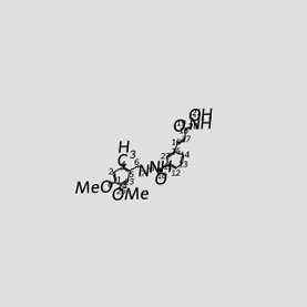 COc1cc(C)c(/C=N/NC(=O)c2cccc(/C=C/C(=O)NO)c2)cc1OC